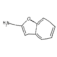 Nc1cc2ccccc2o1